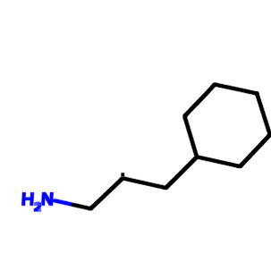 NC[CH]CC1CCCCC1